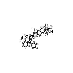 Cc1cnc2n1-c1ccccc1C(c1ccccc1)=NC2NC(=O)Nc1ccc2c(c1)CCC1(C2)NC(=O)NC1=O